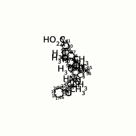 CC1([C@@H]2CC[C@]3(C(=O)N[C@@H]4C[C@H](C(=O)C56CCCCCCC5C6)C4(C)C)CC[C@]4(C)[C@H](CCC5[C@@]6(C)CC=C(c7ccc(C(=O)O)cc7)C(C)(C)[C@@H]6CC[C@]54C)C23)CC1